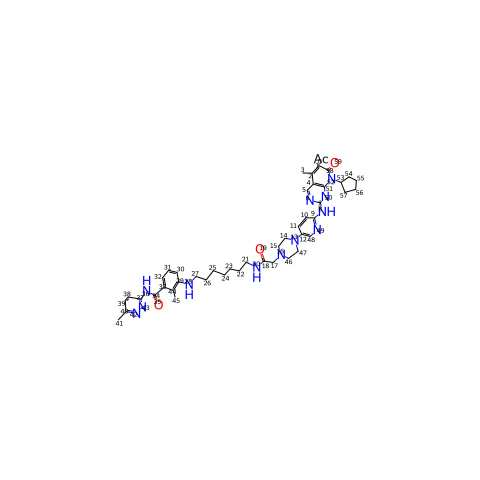 CC(=O)c1c(C)c2cnc(Nc3ccc(N4CCN(CC(=O)NCCCCCCCNc5cccc(C(=O)Nc6ccc(C)nn6)c5C)CC4)cn3)nc2n(C2CCCC2)c1=O